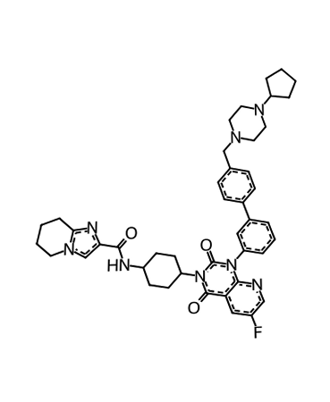 O=C(NC1CCC(n2c(=O)c3cc(F)cnc3n(-c3cccc(-c4ccc(CN5CCN(C6CCCC6)CC5)cc4)c3)c2=O)CC1)c1cn2c(n1)CCCC2